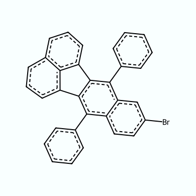 Brc1ccc2c(-c3ccccc3)c3c(c(-c4ccccc4)c2c1)-c1cccc2cccc-3c12